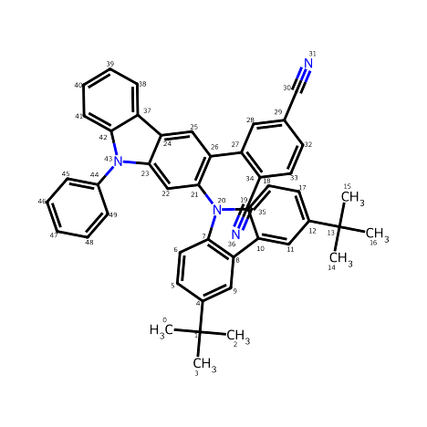 CC(C)(C)c1ccc2c(c1)c1cc(C(C)(C)C)ccc1n2-c1cc2c(cc1-c1cc(C#N)ccc1C#N)c1ccccc1n2-c1ccccc1